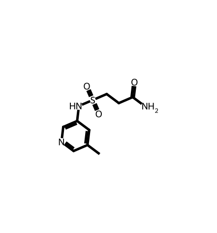 Cc1cncc(NS(=O)(=O)CCC(N)=O)c1